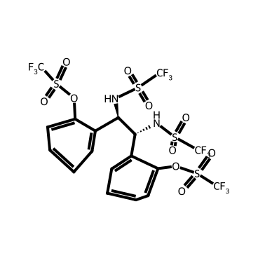 O=S(=O)(N[C@H](c1ccccc1OS(=O)(=O)C(F)(F)F)[C@H](NS(=O)(=O)C(F)(F)F)c1ccccc1OS(=O)(=O)C(F)(F)F)C(F)(F)F